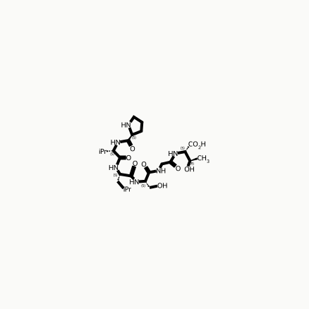 CC(C)C[C@H](NC(=O)[C@@H](NC(=O)[C@@H]1CCCN1)C(C)C)C(=O)N[C@@H](CO)C(=O)NCC(=O)N[C@H](C(=O)O)[C@@H](C)O